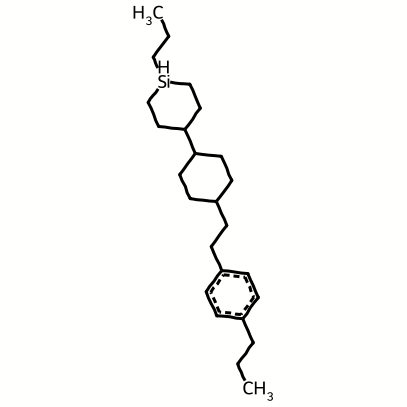 CCCc1ccc(CCC2CCC(C3CC[SiH](CCC)CC3)CC2)cc1